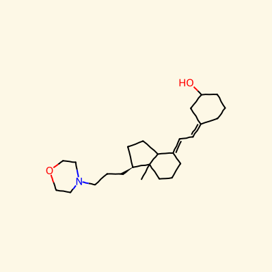 CC12CCC/C(=C\C=C3\CCCC(O)C3)C1CC[C@@H]2CCCN1CCOCC1